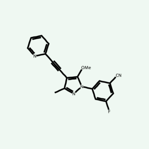 COc1c(C#Cc2ccccn2)c(C)nn1-c1cc(F)cc(C#N)c1